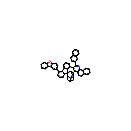 c1cc(-c2cc3ccc4ccccc4c3nc2-c2ccc3ccccc3c2)c2c(c1)-c1c(-c3ccc4oc5ccccc5c4c3)cccc1C21C2CC3CC(C2)CC1C3